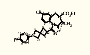 CCOC(=O)N1Cc2cc(Cl)ccc2-n2c(C3CC4(C3)CN(c3ncc(F)cn3)C4)nnc2C1C